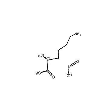 NCCCC[C@H](N)C(=O)O.O=NO